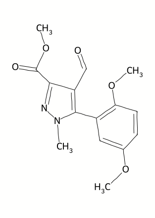 COC(=O)c1nn(C)c(-c2cc(OC)ccc2OC)c1C=O